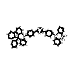 O=S1(=O)c2ccccc2N(c2ccc(-c3nc(-c4ccc(N5c6ccccc6C(c6ccccc6)(c6ccccc6)c6ccccc65)cc4)ns3)cc2)c2ccccc21